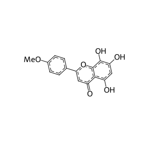 COc1ccc(-c2cc(=O)c3c(O)cc(O)c(O)c3o2)cc1